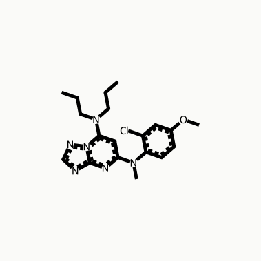 CCCN(CCC)c1cc(N(C)c2ccc(OC)cc2Cl)nc2ncnn12